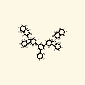 c1ccc(-c2cc(-c3ccc4c(c3)c3ccccc3n4-c3ccc4ccccc4c3)cc(-c3ccc4c(c3)c3ccccc3n4-c3ccc4ccccc4c3)c2)cc1